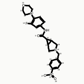 O=C(Nc1ccc(N2CCOCC2)c(F)c1)C1C2CN(Cc3ccc([N+](=O)[O-])cc3)CC21